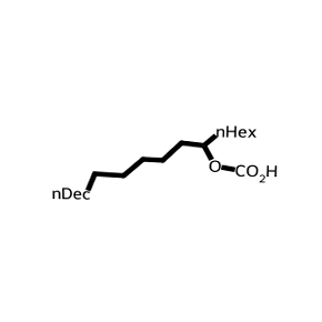 CCCCCCCCCCCCCCCC(CCCCCC)OC(=O)O